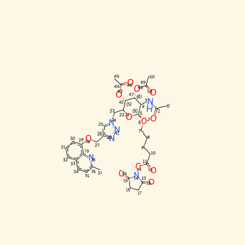 CC(=O)NC1[C@@H](OCCCCC(=O)ON2C(=O)CCC2=O)OC(Cn2cc(COc3cccc4ccc(C)nc34)nn2)[C@H](OC(C)=O)[C@@H]1OC(C)=O